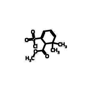 COC(=O)C1C(S(=O)(=O)Cl)=CC=CC1(C)C